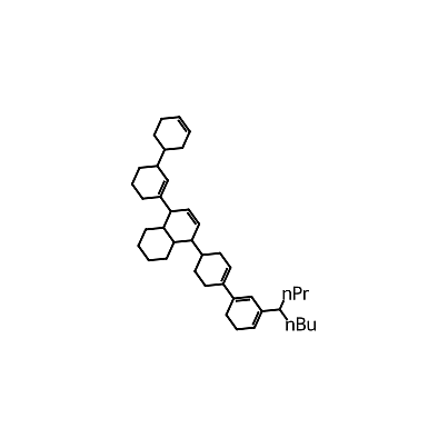 CCCCC(CCC)C1=CCCC(C2=CCC(C3C=CC(C4=CC(C5CC=CCC5)CCC4)C4CCCCC34)CC2)=C1